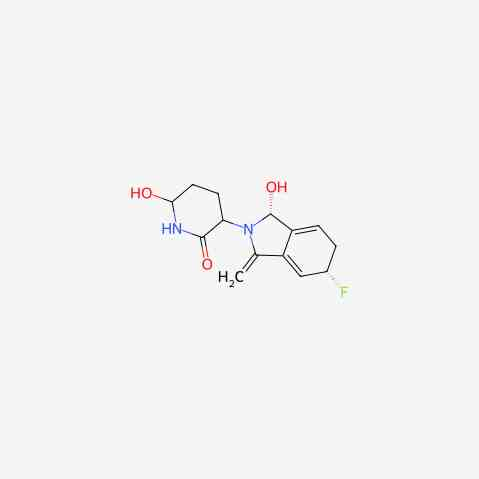 C=C1C2=C[C@@H](F)CC=C2[C@@H](O)N1C1CCC(O)NC1=O